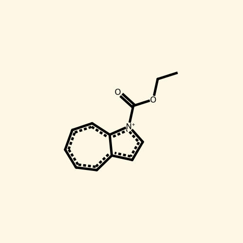 CCOC(=O)[n+]1ccc2cccccc1-2